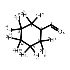 [2H]C1([2H])C(C=O)C([2H])([2H])C([2H])([2H])C([2H])([2H])C1([2H])[2H]